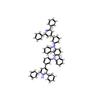 C1=C(c2cccc(-n3c4ccccc4c4ccc5c(c6ccccc6n5-c5cccc(-c6cc(-c7ccccc7)nc(-c7ccccc7)c6)c5)c43)c2)C=C(c2ccccc2)NC1c1ccccc1